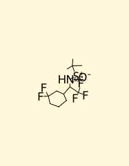 CC(C)(C)[S@@+]([O-])NC(C1CCCC(F)(F)C1)C(F)(F)F